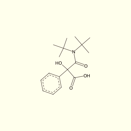 CC(C)(C)N(C(=O)C(O)(C(=O)O)c1ccccc1)C(C)(C)C